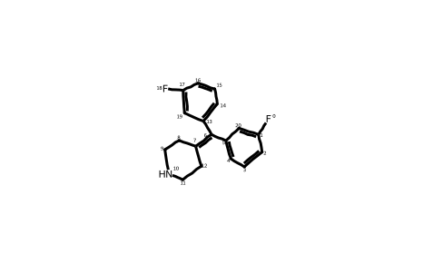 Fc1cccc(C(=C2CCNCC2)c2cccc(F)c2)c1